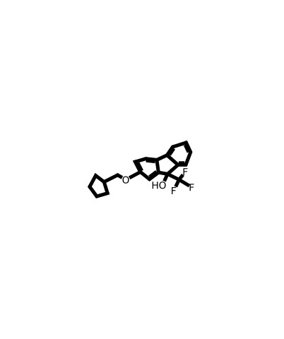 OC1(C(F)(F)F)c2ccccc2-c2ccc(OCC3CCCC3)cc21